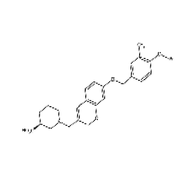 CC(C)Oc1ccc(COc2ccc3c(c2)OCC(CN2CCC[C@H](C(=O)O)C2)=C3)cc1C(F)(F)F